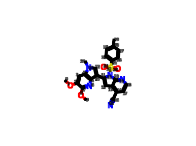 COc1cc2c(nc1OC)c(-c1cc3c(C#N)ccnc3n1S(=O)(=O)c1ccc(C)cc1)cn2C